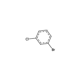 Clc1c[c]cc(Br)c1